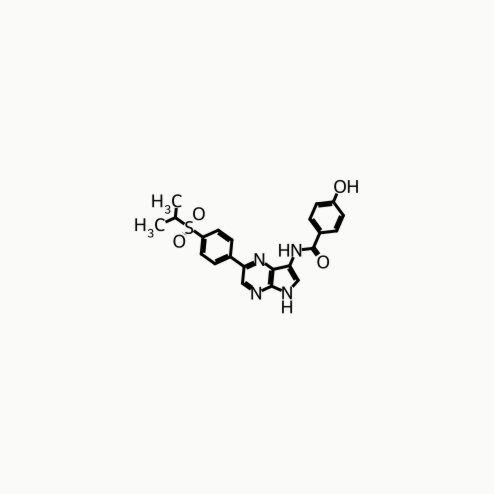 CC(C)S(=O)(=O)c1ccc(-c2cnc3[nH]cc(NC(=O)c4ccc(O)cc4)c3n2)cc1